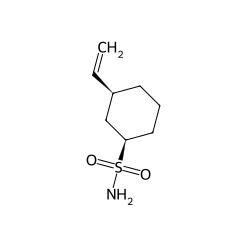 C=C[C@H]1CCC[C@@H](S(N)(=O)=O)C1